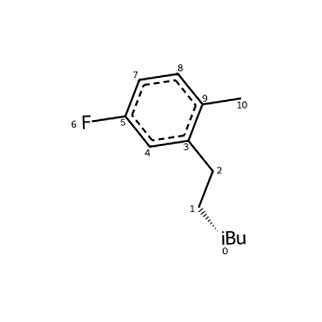 CC[C@@H](C)CCc1cc(F)ccc1C